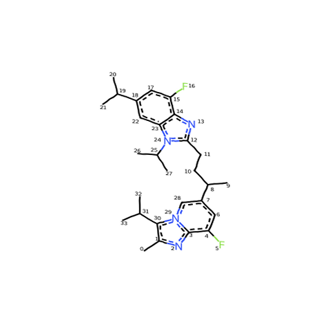 Cc1nc2c(F)cc(C(C)CCc3nc4c(F)cc(C(C)C)cc4n3C(C)C)cn2c1C(C)C